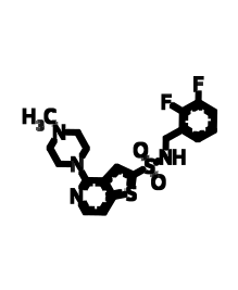 CN1CCN(c2nccc3sc(S(=O)(=O)NCc4cccc(F)c4F)cc23)CC1